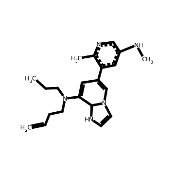 C=CCCN(CCC)C1=CC(c2cc(NC)cnc2C)=CN2C=CNC12